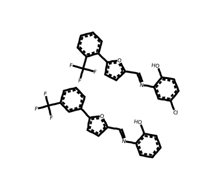 Oc1ccc(Cl)cc1N=Cc1ccc(-c2ccccc2C(F)(F)F)o1.Oc1ccccc1N=Cc1ccc(-c2cccc(C(F)(F)F)c2)o1